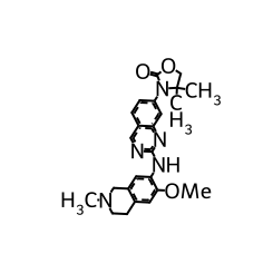 COc1cc2c(cc1Nc1ncc3ccc(N4C(=O)OCC4(C)C)cc3n1)CN(C)CC2